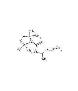 C=CCC(C)OC(=O)N1C(C)(C)COC1(C)C